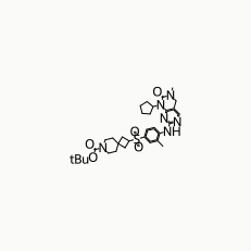 Cc1cc(S(=O)(=O)C2CC3(CCN(C(=O)OC(C)(C)C)CC3)C2)ccc1Nc1ncc2c(n1)N(C1CCCC1)C(=O)N(C)C2